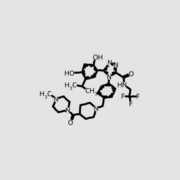 CC(C)c1cc(-c2nnc(C(=O)NCC(F)(F)F)n2-c2ccc(CN3CCC(C(=O)N4CCN(C)CC4)CC3)cc2)c(O)cc1O